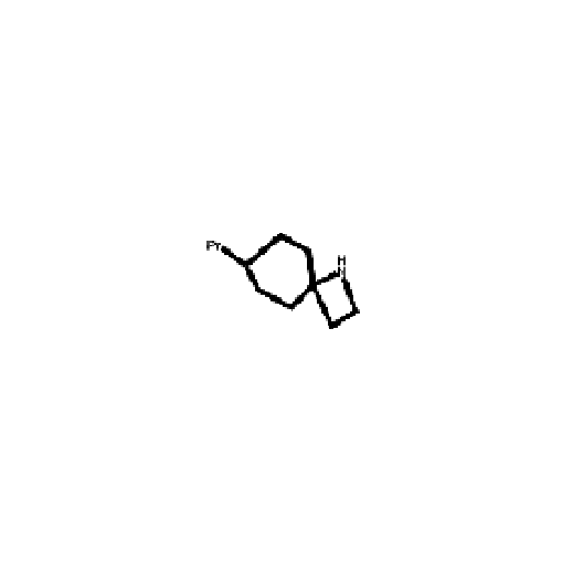 CC(C)C1CCC2(CCN2)CC1